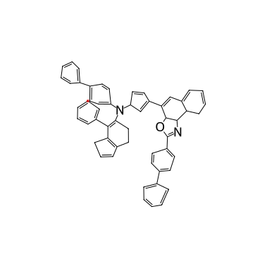 C1=CCC2C(=C1)C=C(C1=CC(N(C3=C(c4ccccc4)C4=C(C=CC4)CC3)c3ccc(-c4ccccc4)cc3)C=C1)C1OC(c3ccc(-c4ccccc4)cc3)=NC21